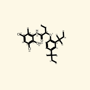 CCC(Oc1ccc(C(C)(C)CC)cc1C(C)(C)CC)C(=O)Nc1c(C)c(Cl)cc(Cl)c1O